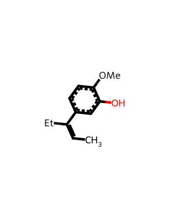 C/C=C(/CC)c1ccc(OC)c(O)c1